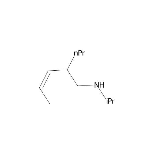 C/C=C\C(CCC)CNC(C)C